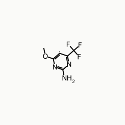 COc1[c]c(C(F)(F)F)nc(N)n1